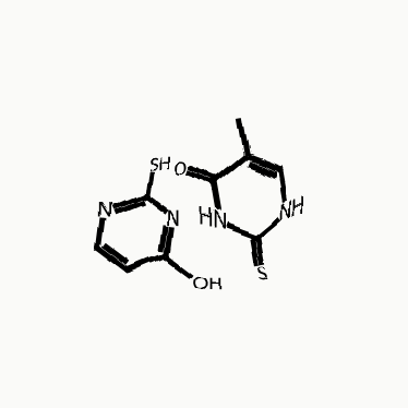 Cc1c[nH]c(=S)[nH]c1=O.Oc1ccnc(S)n1